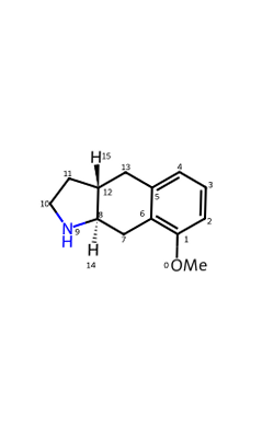 COc1cccc2c1C[C@H]1NCC[C@@H]1C2